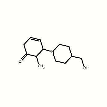 CC1C(=O)CC=CC1N1CCC(CO)CC1